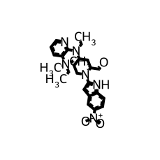 CCN(c1ncccc1[N+](C)(C)CC)C1CCN(c2cc3cc([N+](=O)[O-])ccc3[nH]2)C(C=O)C1